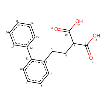 O=C(O)C(CCc1ccccc1-c1ccccc1)C(=O)O